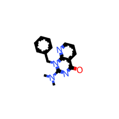 CN(C)c1nc(=O)c2cccnc2n1Cc1ccccc1